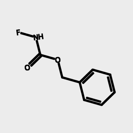 O=C(NF)OCc1ccccc1